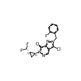 O=c1c2nn(Cc3ccccc3F)c(Cl)c2cnn1[C@H]1C[C@@H]1C(F)F